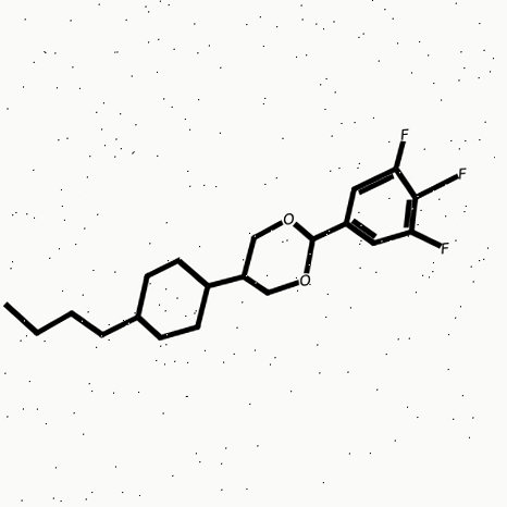 CCCCC1CCC(C2COC(c3cc(F)c(F)c(F)c3)OC2)CC1